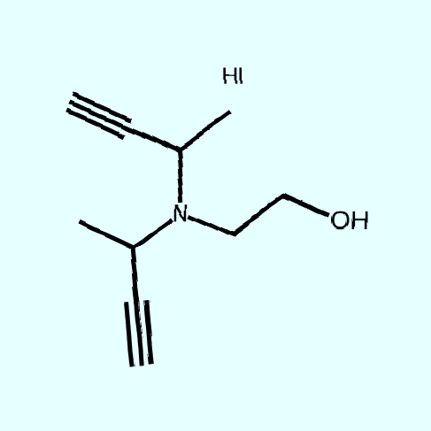 C#CC(C)N(CCO)C(C)C#C.I